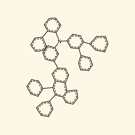 c1ccc(-c2ccc(N(c3cccc(-c4ccc5c(c4)c(-c4ccccc4)c(-c4ccccc4)c4ccccc45)c3)c3ccccc3-c3ccccc3)cc2-c2ccccc2)cc1